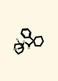 O=C(O[C@H]1CN2CCC1CC2)C1(c2ccccc2)CCCCC1